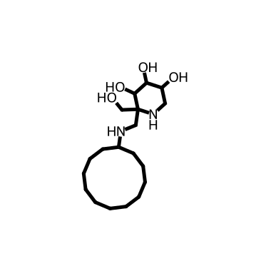 OCC1(CNC2CCCCCCCCCCC2)NCC(O)C(O)C1O